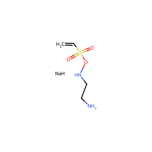 C=CS(=O)(=O)ONCCN.[NaH]